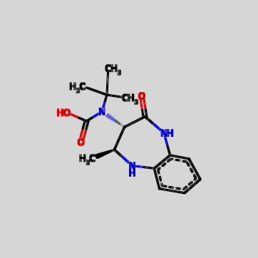 C[C@@H]1Nc2ccccc2NC(=O)[C@H]1N(C(=O)O)C(C)(C)C